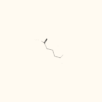 COC(=O)[C@@H](O)[C@H](O)[C@@H](O)[C@H](O)C=O